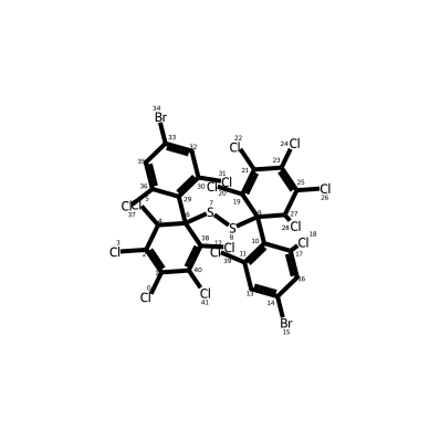 ClC1=C(Cl)C(Cl)C(SSC2(c3c(Cl)cc(Br)cc3Cl)C(Cl)=C(Cl)C(Cl)=C(Cl)C2Cl)(c2c(Cl)cc(Br)cc2Cl)C(Cl)=C1Cl